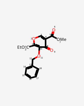 CCOC(=O)c1occ(C(=O)OC)c(=O)c1OCc1ccccc1